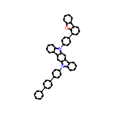 c1ccc(-c2ccc(-c3ccc(-n4c5ccccc5c5cc6c(cc54)c4ccccc4n6-c4ccc(-c5cccc6c5oc5ccccc56)cc4)cc3)cc2)cc1